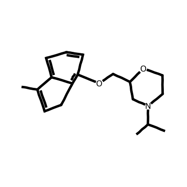 CC1=CCc2c(OCC3CN(C(C)C)CCO3)cccc21